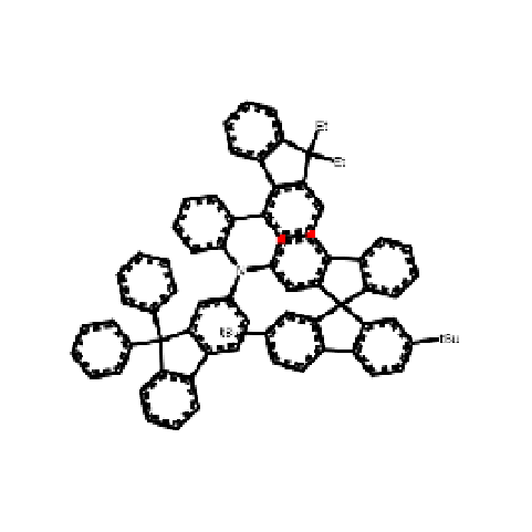 CCC1(CC)c2ccccc2-c2c(-c3ccccc3N(c3ccc4c(c3)C(c3ccccc3)(c3ccccc3)c3ccccc3-4)c3ccc4c(c3)C3(c5ccccc5-4)c4cc(C(C)(C)C)ccc4-c4ccc(C(C)(C)C)cc43)cccc21